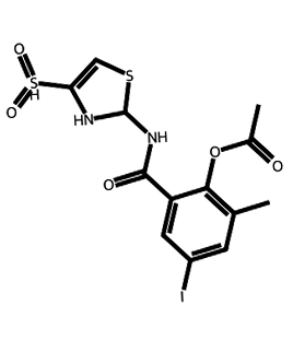 CC(=O)Oc1c(C)cc(I)cc1C(=O)NC1NC([SH](=O)=O)=CS1